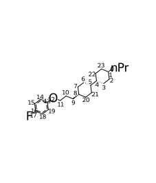 CCC[C@H]1CC[C@H]([C@H]2CC[C@H](CCCOc3ccc(F)cc3)CC2)CC1